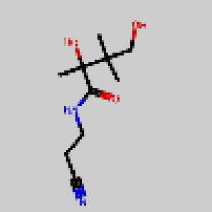 CC(C)(CO)C(C)(O)C(=O)NCCC#N